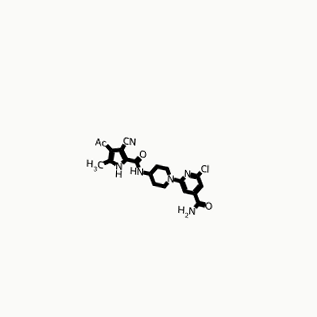 CC(=O)c1c(C)[nH]c(C(=O)NC2CCN(c3cc(C(N)=O)cc(Cl)n3)CC2)c1C#N